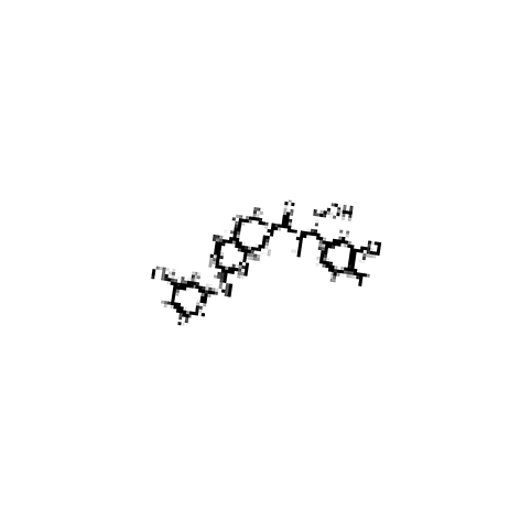 O=C(N[C@H](CO)c1ccc(F)c(Cl)c1)N1CCc2cnc(Nc3cc(Cl)ccn3)nc2C1